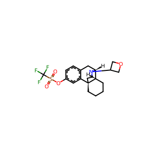 O=S(=O)(Oc1ccc2c(c1)[C@@]13CCCC[C@H]1[C@@H](C2)N(C1COC1)CC3)C(F)(F)F